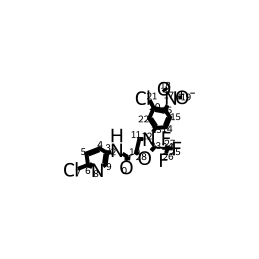 O=C(Nc1ccc(Cl)nc1)[C@@H]1CN(c2ccc([N+](=O)[O-])c(Cl)c2)[C@@H](C(F)(F)F)O1